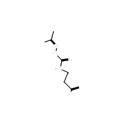 CC(C)=NNC(=N)NCCC(=O)O